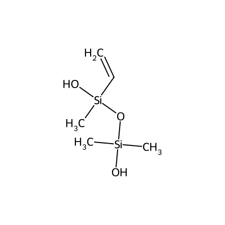 C=C[Si](C)(O)O[Si](C)(C)O